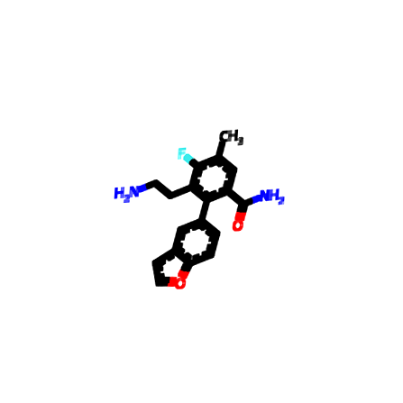 Cc1cc(C(N)=O)c(-c2ccc3occc3c2)c(CCN)c1F